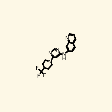 FC(F)(F)C1CCN(c2cc(Nc3ccc4cccnc4c3)ncn2)CC1